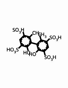 Cc1c(S(=O)(=O)O)cc(S(=O)(=O)O)c(O)c1-c1c(C)c(S(=O)(=O)O)cc(S(=O)(=O)O)c1O